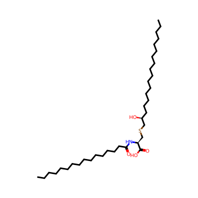 CCCCCCCCCCCCCCCC[C@H](O)CSC[C@H](NC(=O)CCCCCCCCCCCCCCC)C(=O)O